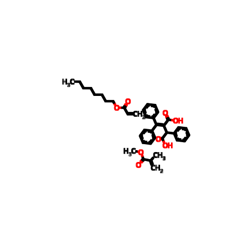 C=C(C)C(=O)OC.C=CC(=O)OCCCCCCCC.O=C(O)C(=C(c1ccccc1)c1ccccc1)C(C(=O)O)c1ccccc1